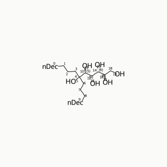 CCCCCCCCCCCCCC(O)(CCCCCCCCCCCCC)[C@@H](O)[C@@H](O)[C@H](O)[C@H](O)CO